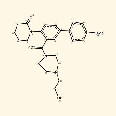 COc1ccc(-c2[c]cc(N3CCCCC3=O)c(C(=O)N3CCN(CCO)CC3)c2)cc1